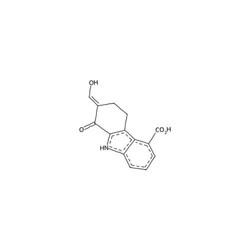 O=C1C(=CO)CCc2c1[nH]c1cccc(C(=O)O)c21